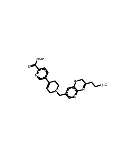 CNC(=O)c1ccc(C2=CCN(Cc3cnc4c(c3)NCC(CCC=O)=N4)CC2)cn1